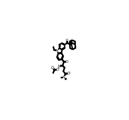 CCn1c2ccc(C(=O)C(CCC(=O)N(C)C)=NOC(C)=O)cc2c2cc(C(=O)C34CC5CC(CC(C5)C3)C4)ccc21